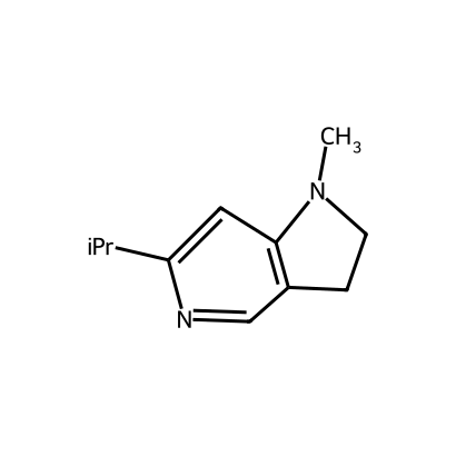 CC(C)c1cc2c(cn1)CCN2C